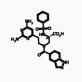 Nc1cc(CCN(C[C@H](NS(=O)(=O)c2ccccc2)C(=O)O)C(=O)c2ccc3[nH]ncc3c2)nc(N)n1